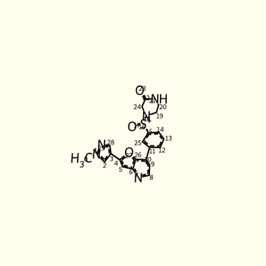 Cn1cc(-c2cc3nccc(-c4cccc([S+]([O-])N5CCNC(=O)C5)c4)c3o2)cn1